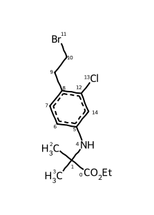 CCOC(=O)C(C)(C)Nc1ccc(CCBr)c(Cl)c1